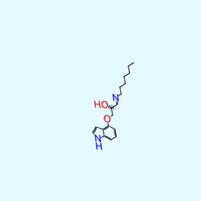 CCCCCCCN=C[C@H](O)COc1cccc2[nH]ccc12